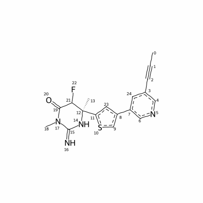 CC#Cc1cncc(-c2csc([C@@]3(C)NC(=N)N(C)C(=O)C3F)c2)c1